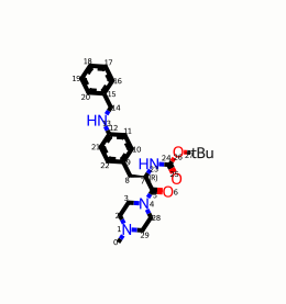 CN1CCN(C(=O)[C@@H](Cc2ccc(NCc3ccccc3)cc2)NC(=O)OC(C)(C)C)CC1